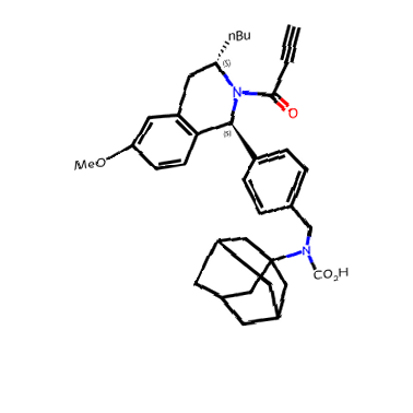 C#CC(=O)N1[C@@H](CCCC)Cc2cc(OC)ccc2[C@@H]1c1ccc(CN(C(=O)O)C23CC4CC(CC(C4)C2)C3)cc1